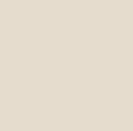 Cc1ccc(-c2ccc(C)c(CCC(=O)O)c2)cc1